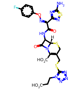 Nc1nc(C(=NOc2ccc(F)cc2)C(=O)NC2C(=O)N3C(C(=O)O)=C(CSc4nnnn4CCC(=O)O)CS[C@@H]23)ns1